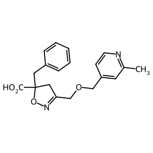 Cc1cc(COCC2=NOC(Cc3ccccc3)(C(=O)O)C2)ccn1